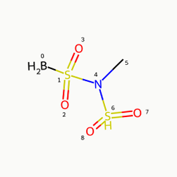 BS(=O)(=O)N(C)[SH](=O)=O